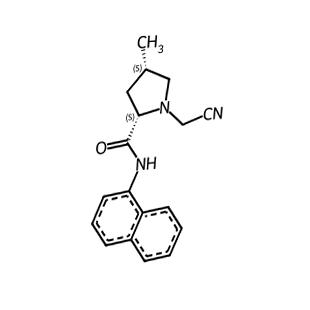 C[C@H]1C[C@@H](C(=O)Nc2cccc3ccccc23)N(CC#N)C1